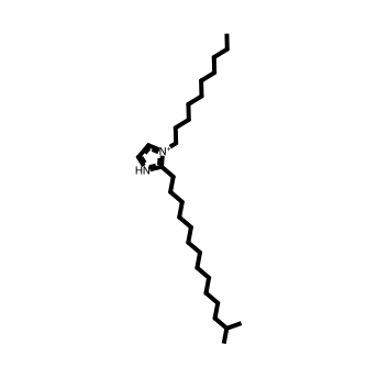 CCCCCCCCCC[n+]1cc[nH]c1CCCCCCCCCCCCC(C)C